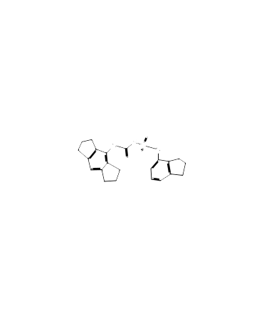 O=C(Nc1c2c(cc3c1CCC3)CCC2)NS(=O)(=O)Nc1cccc2c1CCC2